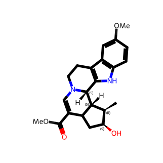 COC(=O)C1=CN2CCc3c([nH]c4ccc(OC)cc34)[C@@H]2[C@H]2C1C[C@H](O)[C@@H]2C